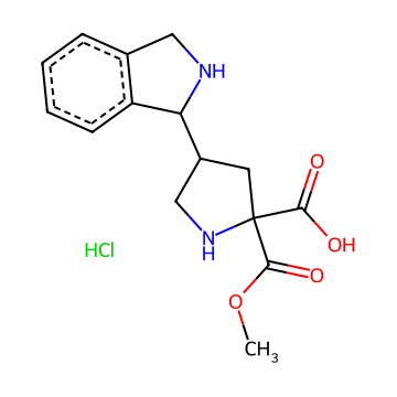 COC(=O)C1(C(=O)O)CC(C2NCc3ccccc32)CN1.Cl